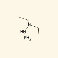 CCN(CC)NP